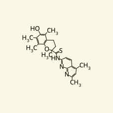 Cc1cc(C)c2ccc(NC(=S)C3(C)CCc4c(C)c(O)c(C)c(C)c4O3)nc2n1